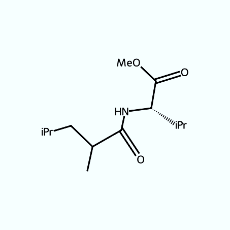 COC(=O)[C@@H](NC(=O)C(C)CC(C)C)C(C)C